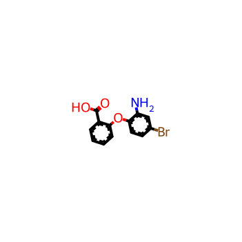 Nc1cc(Br)ccc1Oc1ccccc1C(=O)O